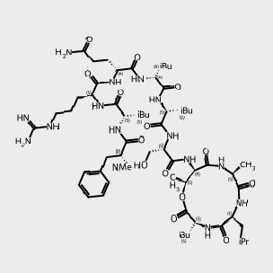 CC[C@@H](C)[C@@H](NC(=O)[C@@H](CCC(N)=O)NC(=O)[C@H](CCCNC(=N)N)NC(=O)[C@@H](NC(=O)[C@@H](Cc1ccccc1)NC)[C@@H](C)CC)C(=O)N[C@H](C(=O)N[C@@H](CO)C(=O)N[C@H]1C(=O)N[C@@H](C)C(=O)N[C@@H](CC(C)C)C(=O)N[C@@H]([C@@H](C)CC)C(=O)O[C@H]1C)[C@@H](C)CC